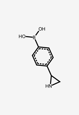 OB(O)c1ccc(C2CN2)cc1